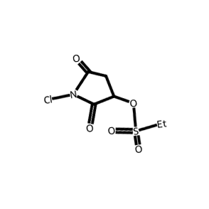 CCS(=O)(=O)OC1CC(=O)N(Cl)C1=O